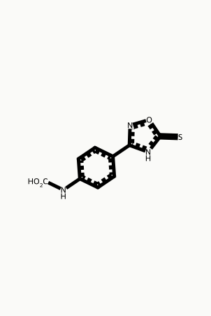 O=C(O)Nc1ccc(-c2noc(=S)[nH]2)cc1